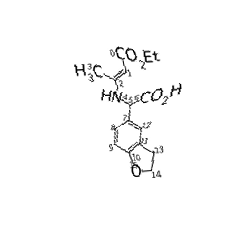 CCOC(=O)C=C(C)NC(C(=O)O)c1ccc2c(c1)CCO2